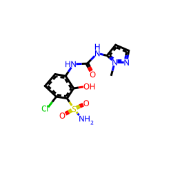 Cn1nccc1NC(=O)Nc1ccc(Cl)c(S(N)(=O)=O)c1O